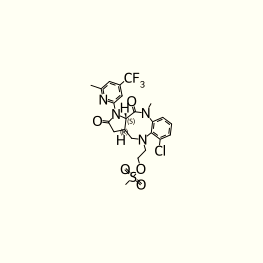 Cc1cc(C(F)(F)F)cc(N2C(=O)C[C@@H]3CN(CCOS(C)(=O)=O)c4c(Cl)cccc4N(C)C(=O)[C@H]32)n1